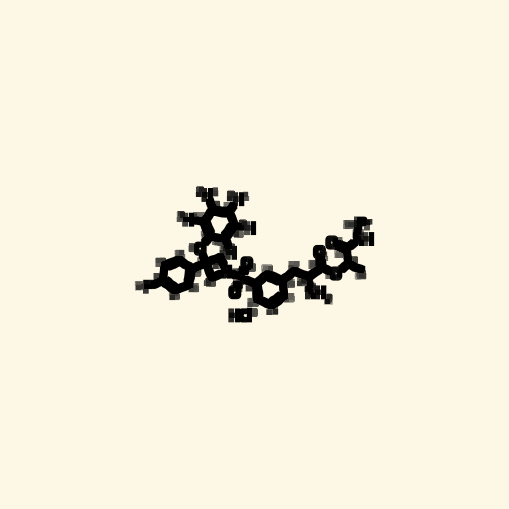 Cl.[2H]c1c([2H])c([2H])c(OC2(c3ccc(F)cc3)CN(S(=O)(=O)c3cccc(C[C@H](N)C(=O)OC(C)C(=O)NC(C)C)c3)C2)c([2H])c1[2H]